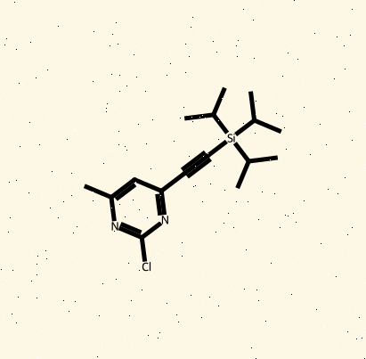 Cc1cc(C#C[Si](C(C)C)(C(C)C)C(C)C)nc(Cl)n1